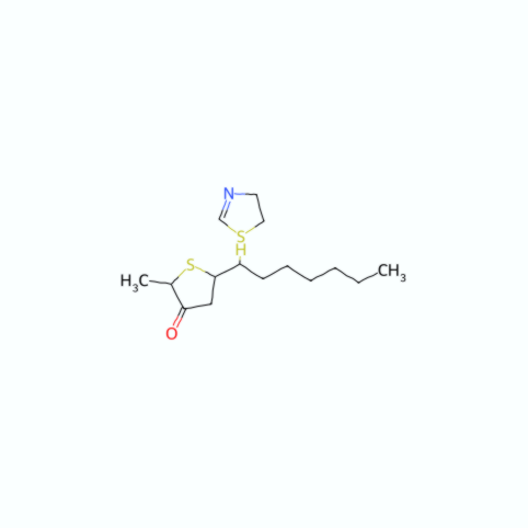 CCCCCCC(C1CC(=O)C(C)S1)[SH]1C=NCC1